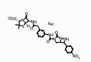 CC1(C)S[C@@H]2[C@H](NC(=O)Cc3cccc(NC(=O)N4CC5C(c6ccc([N+](=O)[O-])cc6)NN5C4=O)c3)C(=O)N2[C@H]1C(=O)[O-].[Na+]